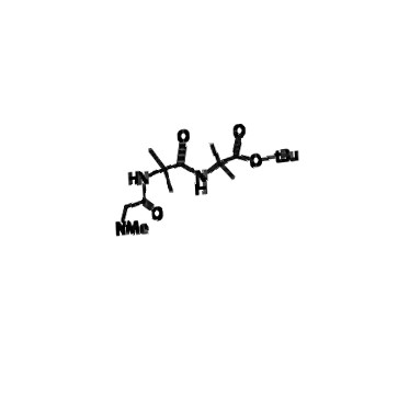 CNCC(=O)NC(C)(C)C(=O)NC(C)(C)C(=O)OC(C)(C)C